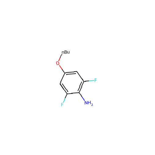 CCCCOc1cc(F)c(N)c(F)c1